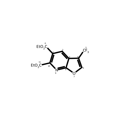 CCOC(=O)c1cc2c(C(F)(F)F)coc2nc1C(=O)OCC